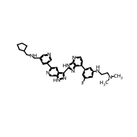 CN(C)CCNc1cc(F)cc(-c2ccnc3[nH]c(-c4n[nH]c5cnc(-c6cncc(CNCC7CCCC7)c6)cc45)nc23)c1